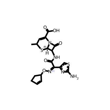 CC1C=C(C(=O)O)N2C(=O)C(NC(=O)/C(=N\OC3C=CCC3)c3csc(N)n3)[C@H]2S1